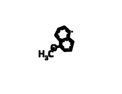 COc1cccc2[c]cccc12